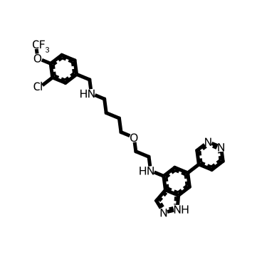 FC(F)(F)Oc1ccc(CNCCCCOCCNc2cc(-c3ccnnc3)cc3[nH]ncc23)cc1Cl